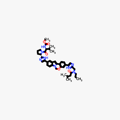 CCCN(Cc1ncc(-c2ccc3c(c2)OCn2c-3cc3cc(-c4cnc([C@@H]5CCCN5C(=O)[C@@H](NC(=O)OC)C(C)C)[nH]4)ccc32)[nH]1)C(=O)CC(C)C